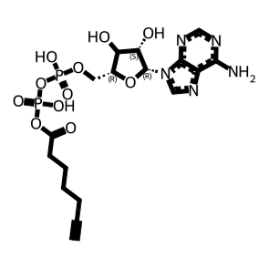 C#CCCCCC(=O)OP(=O)(O)OP(=O)(O)OC[C@H]1O[C@@H](n2cnc3c(N)ncnc32)[C@@H](O)C1O